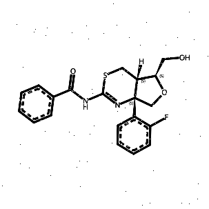 O=C(NC1=N[C@@]2(c3ccccc3F)CO[C@H](CO)[C@H]2CS1)c1ccccc1